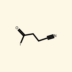 N#CCCC(=O)I